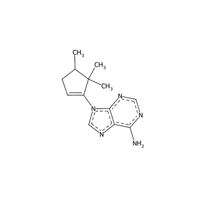 CC1CC=C(n2cnc3c(N)ncnc32)C1(C)C